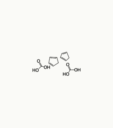 C1=CCC=C1.C1=CCC=C1.O=C(O)O.O=C(O)O